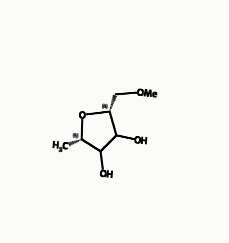 COC[C@H]1O[C@@H](C)C(O)C1O